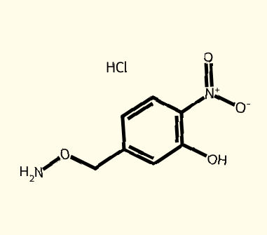 Cl.NOCc1ccc([N+](=O)[O-])c(O)c1